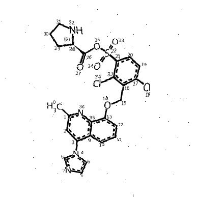 Cc1cc(-n2ccnc2)c2cccc(OCc3c(Cl)ccc(S(=O)(=O)OC(=O)[C@H]4CCCN4)c3Cl)c2n1